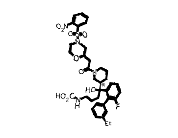 CCc1cccc(-c2c(F)cccc2C(O)(CCCNC(=O)O)[C@@H]2CCCN(C(=O)CC3CN(S(=O)(=O)c4ccccc4[N+](=O)[O-])CCO3)C2)c1